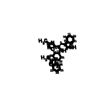 Cc1noc([C@H](Cc2c[nH]c3ccccc23)NC2CCC(c3ccccc3)(N(C)C)CC2)n1